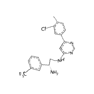 Cc1ccc(-c2cc(NC[C@H](N)c3cccc(C(F)(F)F)c3)ncn2)cc1Cl